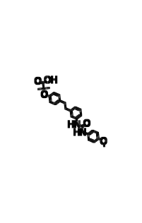 COc1ccc(NC(=O)Nc2cccc(CCc3ccc(OC(C)(C)C(=O)O)cc3)c2)cc1